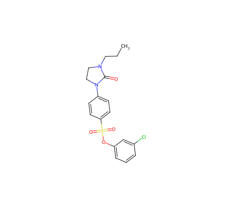 CCCN1CCN(c2ccc(S(=O)(=O)Oc3cccc(Cl)c3)cc2)C1=O